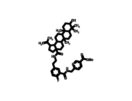 C=C(C)C1CCC2(C(=O)NCCc3ccc(F)c(C(=O)NCc4ccc(C(=O)OC)cn4)c3)CCC3C(CCC4C3(C)CCC3C(C)(C)C(O)CCC34C)C12